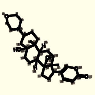 C[C@]12CC[C@H](N3CCOCC3)C[C@@]1(O)CC[C@@H]1[C@@H]2CC[C@]2(C)[C@@H](c3ccc(=O)oc3)CC[C@]12O